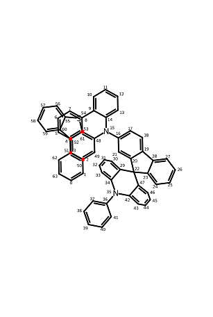 c1ccc(-c2cccc(-c3ccccc3N(c3ccc4c(c3)C3(c5ccccc5-4)c4ccccc4N(c4ccccc4)c4ccccc43)c3cccc4c3sc3ccccc34)c2)cc1